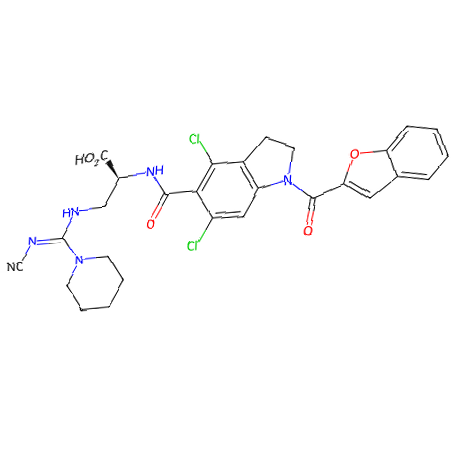 N#C/N=C(/NC[C@H](NC(=O)c1c(Cl)cc2c(c1Cl)CCN2C(=O)c1cc2ccccc2o1)C(=O)O)N1CCCCC1